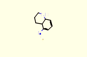 S=C=NC1=CC=CC2NCCCC12